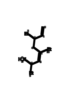 C=CC(CC)C/C(=C\C(N)CC)CC